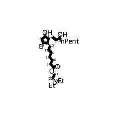 CCCCCC(O)C=C[C@H]1C(O)CC(=O)[C@@H]1CC=CCCCC(=O)OCCN(CC)CC